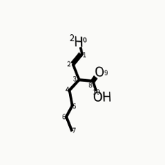 [2H]/C=C/C(CCCC)C(=O)O